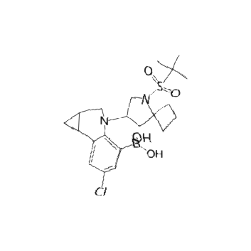 CC(C)(C)S(=O)(=O)N1CC(N2CC3CC3c3cc(Cl)cc(B(O)O)c32)CC12CCC2